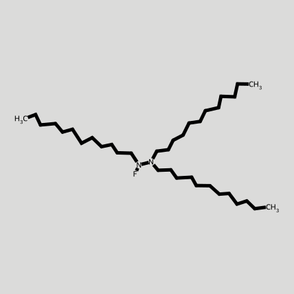 CCCCCCCCCCCCN(F)N(CCCCCCCCCCCC)CCCCCCCCCCCC